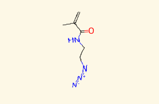 C=C(C)C(=O)NCCN=[N+]=[N-]